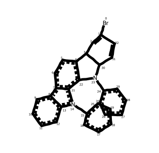 BrC1=CC2c3ccc4c5ccccc5n(-c5ccccc5)c4c3N(c3ccccc3)C2C=C1